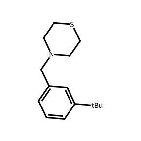 CC(C)(C)c1cccc(CN2CCSCC2)c1